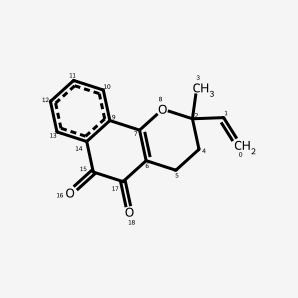 C=CC1(C)CCC2=C(O1)c1ccccc1C(=O)C2=O